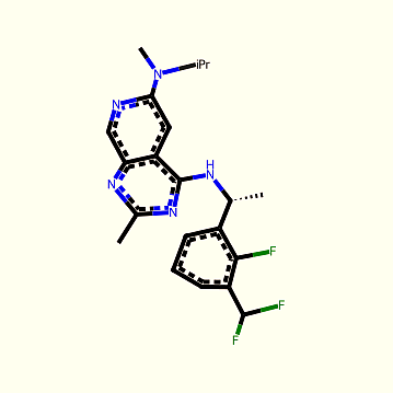 Cc1nc(N[C@H](C)c2cccc(C(F)F)c2F)c2cc(N(C)C(C)C)ncc2n1